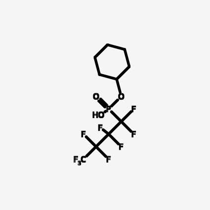 O=P(O)(OC1CCCCC1)C(F)(F)C(F)(F)C(F)(F)C(F)(F)F